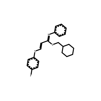 Fc1ccc(SC=CC(=Nc2ccccc2)SCC2CCCCC2)cc1